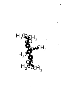 C=C(COC)C(=O)Oc1ccc(-c2cc(OC/C=C/C)c(-c3ccc(OC(=O)C(=C)COC)cc3)cc2C)cc1